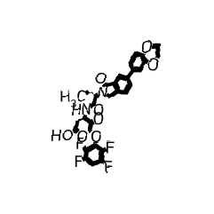 CC[C@@H](C(=O)N[C@H](CC(=O)O)C(=O)COc1c(F)c(F)cc(F)c1F)N1Cc2ccc(-c3ccc4c(c3)OCCO4)cc2C1=O